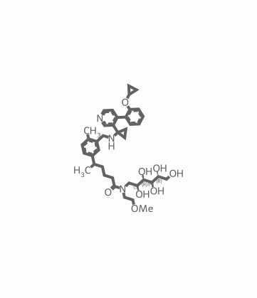 COCCN(C[C@H](O)[C@@H](O)[C@H](O)[C@H](O)CO)C(=O)CCCC(C)c1ccc(C)c(CNC2(c3cnccc3-c3ccccc3OC3CC3)CC2)c1